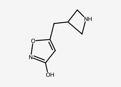 Oc1cc(CC2CNC2)on1